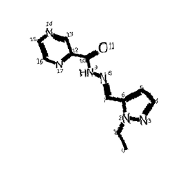 CCn1nccc1C=NNC(=O)c1cnccn1